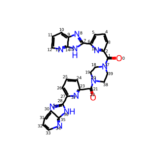 O=C(c1cccc(-c2nc3cccnc3[nH]2)n1)N1CCN(C(=O)c2cccc(-c3nc4cccnc4[nH]3)n2)CC1